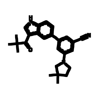 CC1(C)CCN(c2cc(C#N)cc(-c3ccc4[nH]cc(C(=O)C(C)(C)C)c4c3)c2)C1